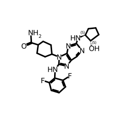 NC(=O)C1CCC(n2c(Nc3c(F)cccc3F)nc3cnc(N[C@H]4CCC[C@@H]4O)nc32)CC1